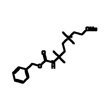 COCC[N+](C)(C)CCC(C)(C)NC(=O)OCc1ccccc1